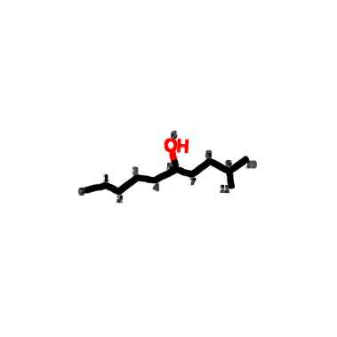 CCCCCC(O)CCC(C)C